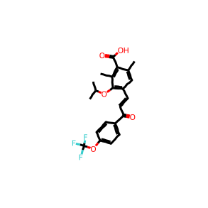 Cc1cc(C=CC(=O)c2ccc(OC(F)(F)F)cc2)c(OC(C)C)c(C)c1C(=O)O